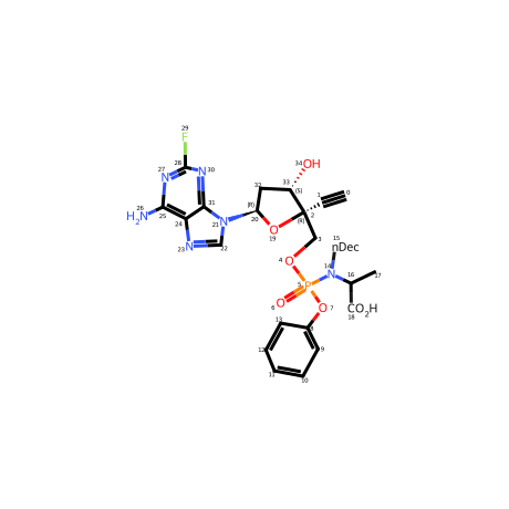 C#C[C@]1(COP(=O)(Oc2ccccc2)N(CCCCCCCCCC)C(C)C(=O)O)O[C@@H](n2cnc3c(N)nc(F)nc32)C[C@@H]1O